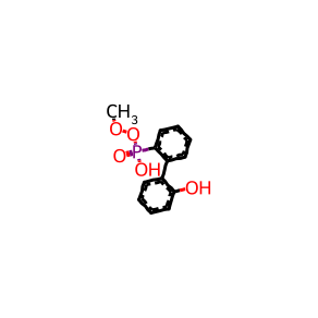 COOP(=O)(O)c1ccccc1-c1ccccc1O